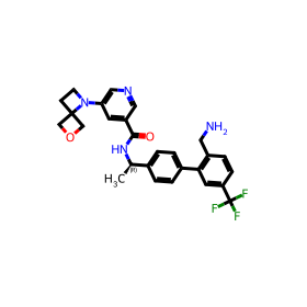 C[C@@H](NC(=O)c1cncc(N2CCC23COC3)c1)c1ccc(-c2cc(C(F)(F)F)ccc2CN)cc1